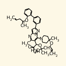 C=CCOC1(C)CCN(c2c(C(OC(C)(C)C)C(=O)O)c(C)nc3cc(-c4cccc(-c5ccccc5O[C@@H](C)CC=C)c4)nn23)CC1